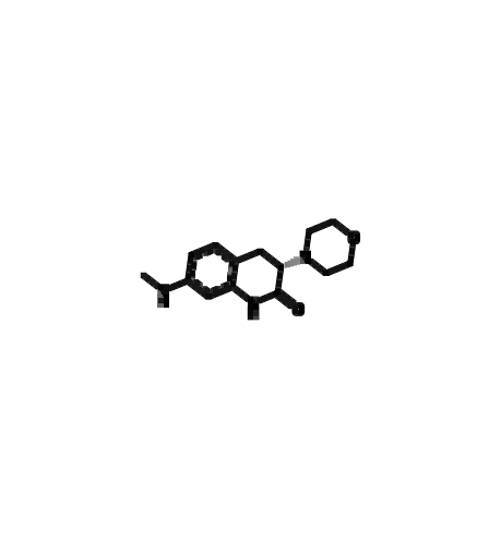 CNc1ccc2c(c1)NC(=O)[C@@H](N1CCOCC1)C2